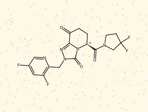 O=C1CC[C@@H](C(=O)N2CCC(F)(F)C2)n2c1nn(Cc1ncc(F)cc1F)c2=O